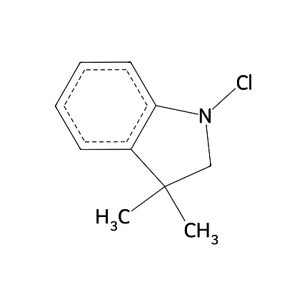 CC1(C)CN(Cl)c2ccccc21